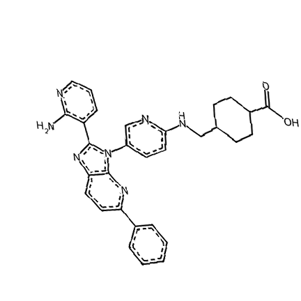 Nc1ncccc1-c1nc2ccc(-c3ccccc3)nc2n1-c1ccc(NCC2CCC(C(=O)O)CC2)nc1